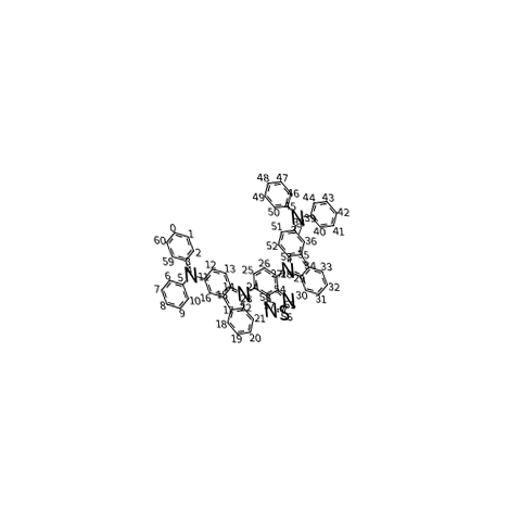 c1ccc(N(c2ccccc2)c2ccc3c(c2)c2ccccc2n3-c2ccc(-n3c4ccccc4c4cc(N(c5ccccc5)c5ccccc5)ccc43)c3nsnc23)cc1